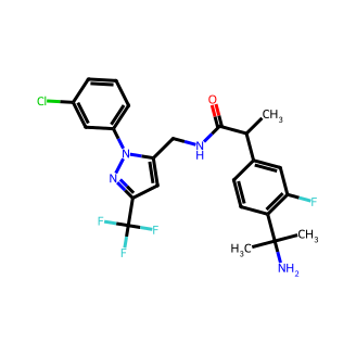 CC(C(=O)NCc1cc(C(F)(F)F)nn1-c1cccc(Cl)c1)c1ccc(C(C)(C)N)c(F)c1